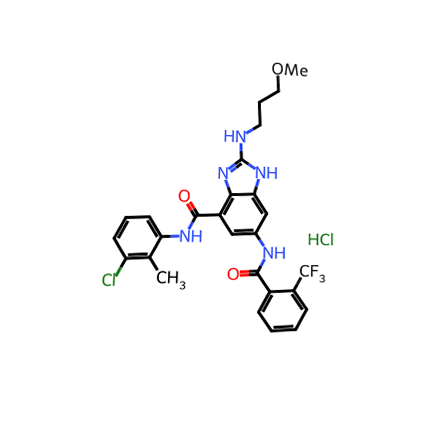 COCCCNc1nc2c(C(=O)Nc3cccc(Cl)c3C)cc(NC(=O)c3ccccc3C(F)(F)F)cc2[nH]1.Cl